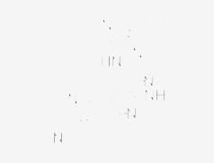 Fc1ccc(-c2cncc3[nH]c(-c4n[nH]c5ncc(-c6cncc(CN7CCCCC7)c6)cc45)nc23)s1